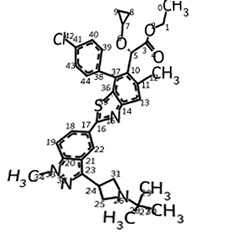 CCOC(=O)[C@@H](OC1CC1)c1c(C)cc2nc(-c3ccc4c(c3)c(C3CN(C(C)(C)C)C3)nn4C)sc2c1-c1ccc(Cl)cc1